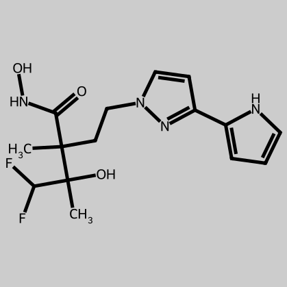 CC(CCn1ccc(-c2ccc[nH]2)n1)(C(=O)NO)C(C)(O)C(F)F